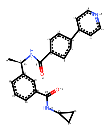 C[C@@H](NC(=O)c1ccc(-c2ccncc2)cc1)c1cccc(C(=O)NC2CC2)c1